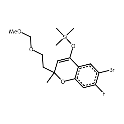 COCOCCC1(C)C=C(O[Si](C)(C)C)c2cc(Br)c(F)cc2O1